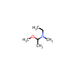 CCN(C)C(C)OC